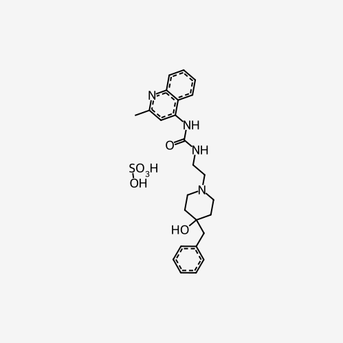 Cc1cc(NC(=O)NCCN2CCC(O)(Cc3ccccc3)CC2)c2ccccc2n1.O=S(=O)(O)O